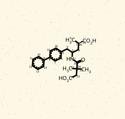 C[C@H](CC(Cc1ccc(-c2ccccc2)cc1)NC(=O)C(C)(C)CC(=O)O)C(=O)O